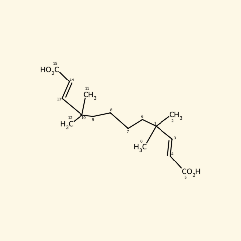 CC(C)(C=CC(=O)O)CCCCC(C)(C)C=CC(=O)O